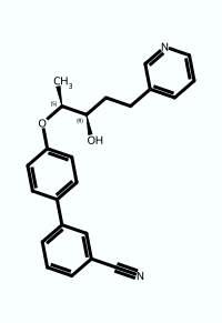 C[C@H](Oc1ccc(-c2cccc(C#N)c2)cc1)[C@H](O)CCc1cccnc1